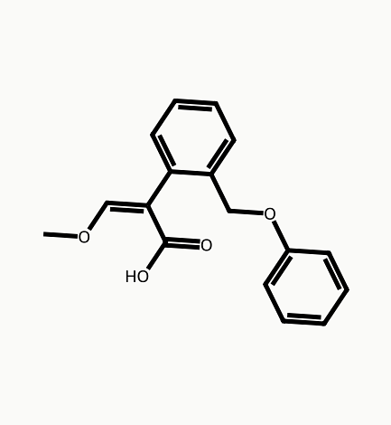 COC=C(C(=O)O)c1ccccc1COc1ccccc1